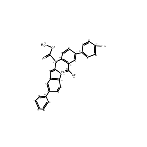 COC(=O)N(c1cc2cc(-c3ccccc3)ccc2o1)c1ccc(-c2ccc(F)cc2)cc1C(=O)O